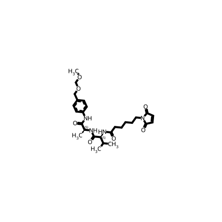 COCOCc1ccc(NC(=O)[C@H](C)NC(=O)[C@@H](NC(=O)CCCCCN2C(=O)C=CC2=O)C(C)C)cc1